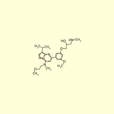 CNCC(O)COc1cc(OC)cc(-c2cc(N(C)CCOC)n3ncc(C(C)C)c3n2)c1